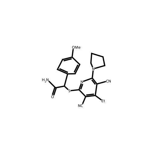 CCc1c(C#N)c(SC(C(N)=O)c2ccc(OC)cc2)nc(N2CCCC2)c1C#N